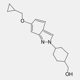 OCC1CCC(n2cc3ccc(OCC4CC4)cc3n2)CC1